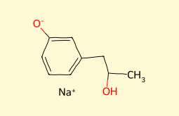 CC(O)Cc1cccc([O-])c1.[Na+]